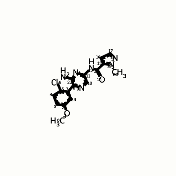 COc1ccc(Cl)c(-c2ncc(NC(=O)c3ccnn3C)nc2N)c1